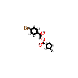 C[C@@H]1CC[C@H](C(=O)OCC(=O)c2ccc(Br)cc2)C1